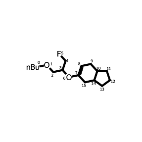 CCCCOCC(CF)OC1=CCC2CCCC2C1